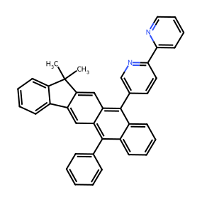 CC1(C)c2ccccc2-c2cc3c(-c4ccccc4)c4ccccc4c(-c4ccc(-c5ccccn5)nc4)c3cc21